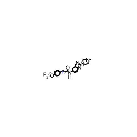 CN1CCN(c2ncc3cc(NC(=O)/C=C/c4ccc(OC(F)(F)F)cc4)ccc3n2)CC1